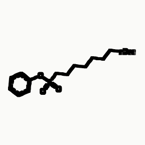 CCCCCCCCCCCCCCCCCS(=O)(=O)Oc1ccccc1